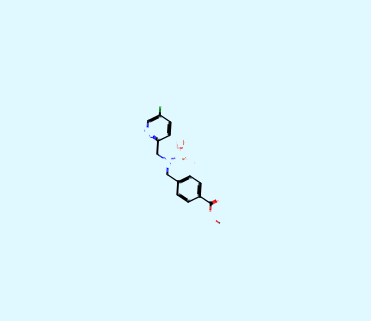 COC(=O)c1ccc(CN(Cc2ccc(Br)cn2)[SH](=O)=O)cc1